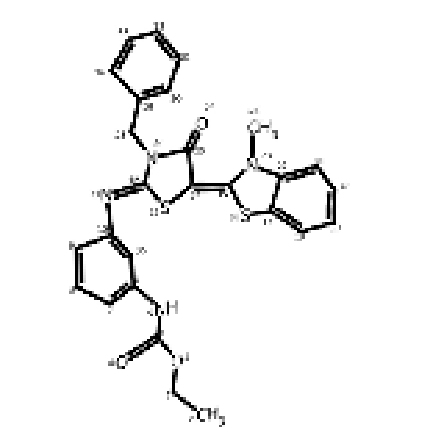 CCOC(=O)Nc1cccc(/N=C2\S/C(=C3\Sc4ccccc4N3C)C(=O)N2Cc2ccccc2)c1